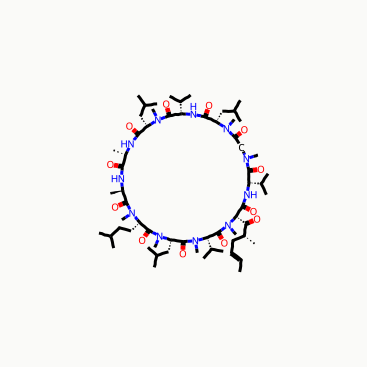 C/C=C/C[C@@H](C)C(=O)[C@H]1C(=O)N[C@@H](C(C)C)C(=O)N(C)CC(=O)N(C)[C@@H](CC(C)C)C(=O)N[C@@H](C(C)C)C(=O)N(C)[C@@H](CC(C)C)C(=O)N[C@@H](C)C(=O)N[C@H](C)C(=O)N(C)[C@@H](CCC(C)C)C(=O)N(C)[C@@H](CC(C)C)C(=O)N(C)[C@@H](C(C)C)C(=O)N1C